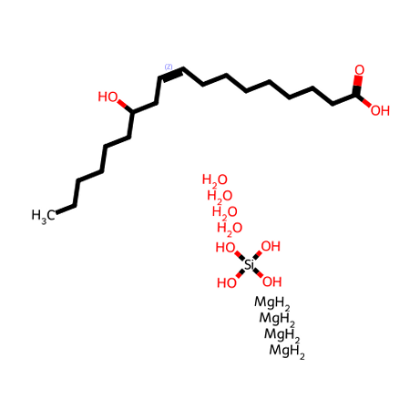 CCCCCCC(O)C/C=C\CCCCCCCC(=O)O.O.O.O.O.O[Si](O)(O)O.[MgH2].[MgH2].[MgH2].[MgH2]